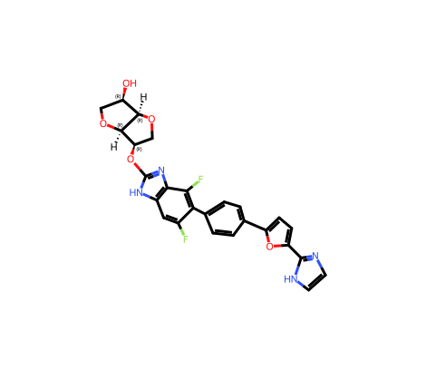 O[C@@H]1CO[C@H]2[C@@H]1OC[C@H]2Oc1nc2c(F)c(-c3ccc(-c4ccc(-c5ncc[nH]5)o4)cc3)c(F)cc2[nH]1